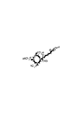 CCCCCNC(=O)CCCCCNC(C=O)N1CCN(CC(=O)O)CCN(CC(=O)O)CCN(CC(=O)O)CC1